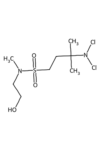 CN(CCO)S(=O)(=O)CCC(C)(C)N(Cl)Cl